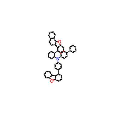 c1ccc(-c2ccc(N(c3ccc(-c4cccc5oc6ccccc6c45)cc3)c3ccccc3-c3cccc4oc5c6ccccc6ccc5c34)cc2)cc1